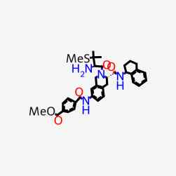 COC(=O)c1ccc(C(=O)Nc2ccc3c(c2)CN(C(=O)[C@@H](N)C(C)(C)SC)[C@H](C(=O)NC2CCCc4ccccc42)C3)cc1